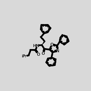 CC(C)C[CH]C(=O)N[C@@H](CCc1ccccc1)C(=O)c1oc(-c2ccccc2)nc1-c1ccccc1